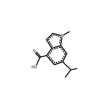 CC(C)c1cc(C(=O)O)c2ccn(C)c2c1